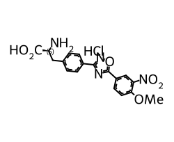 COc1ccc(-c2nc(-c3ccc(C[C@H](N)C(=O)O)cc3)no2)cc1[N+](=O)[O-].Cl